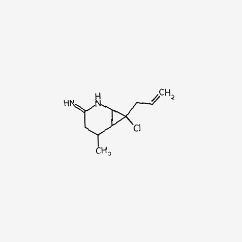 C=CCC1(Cl)C2NC(=N)CC(C)C21